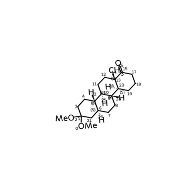 COC1(OC)CC[C@H]2[C@@H](CC[C@@H]3[C@@H]2CC[C@]2(C)C(=O)CCC[C@@H]32)C1